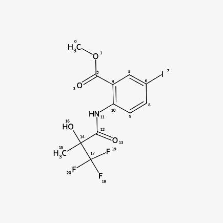 COC(=O)c1cc(I)ccc1NC(=O)C(C)(O)C(F)(F)F